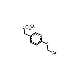 CCOC(=O)Cc1ccc(SCC(C)=O)cc1